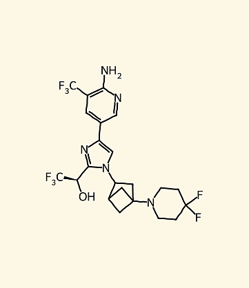 Nc1ncc(-c2cn(C3CC4(N5CCC(F)(F)CC5)CC3C4)c([C@@H](O)C(F)(F)F)n2)cc1C(F)(F)F